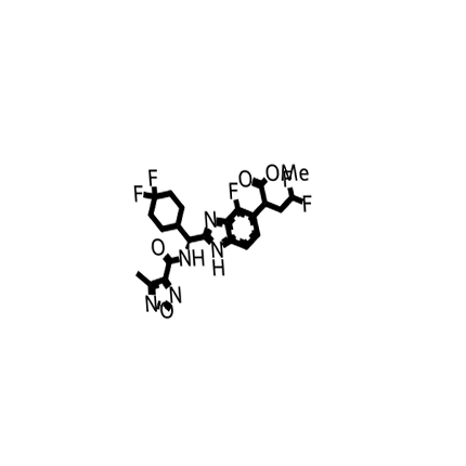 COC(=O)C(CC(F)F)c1ccc2[nH]c([C@@H](NC(=O)c3nonc3C)C3CCC(F)(F)CC3)nc2c1F